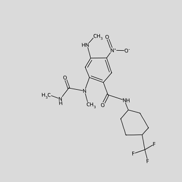 CNC(=O)N(C)c1cc(NC)c([N+](=O)[O-])cc1C(=O)NC1CCC(C(F)(F)F)CC1